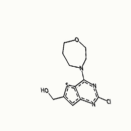 OCc1cc2nc(Cl)nc(N3CCCOCC3)c2s1